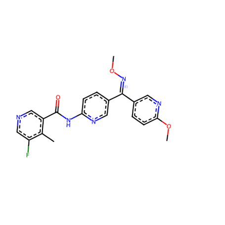 CO/N=C(\c1ccc(NC(=O)c2cncc(F)c2C)nc1)c1ccc(OC)nc1